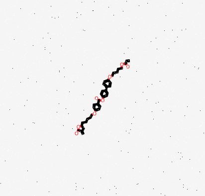 C=CC(=O)OCCCCCOc1ccc(-c2ccc(OC(=O)c3ccc(OCCCCCC4CC(=C)C(=O)O4)cc3)cc2)cc1